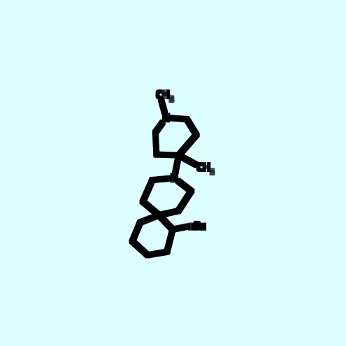 CCCCC1CCCCC12CCN(C1(C)CCN(C)CC1)CC2